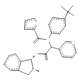 CC(C)(C)c1ccc(N(C(=O)c2ccco2)C(C(=O)N[C@@H]2c3ccccc3C[C@@H]2O)c2cccnc2)cc1